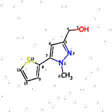 Cn1nc(CO)cc1-c1cccs1